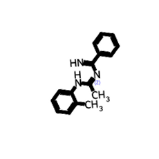 C/C(=N/C(=N)c1ccccc1)Nc1ccccc1C